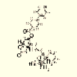 CC(C)(C)[Si](C)(C)OC(C=CC[C@@H]1[C@H]2CC(=O)O[C@H]2C[C@H]1OC(=O)c1ccc(-c2ccccc2)cc1)c1ccccc1